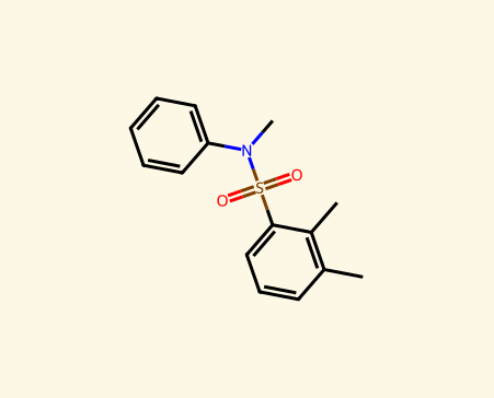 Cc1cccc(S(=O)(=O)N(C)c2ccccc2)c1C